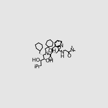 CC(C)C[C@H](O)[C@H](O)[C@H](CC1CCCCC1)N(CC1(O)CCCCC1)C(=O)[C@@H](CC(=O)NCC(=O)N(C)C)Cc1cccnc1